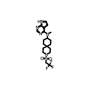 CN(c1ncnc2[nH]ccc12)C1CCC2(CC1)CCN(S(=O)(=O)CC(F)(F)F)CC2